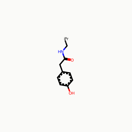 CC(C)CNC(=O)Cc1ccc(O)cc1